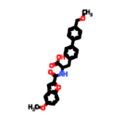 COCc1ccc(-c2ccc(CC(NC(=O)c3cc4cc(OC)ccc4o3)C(=O)O)cc2)cc1